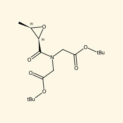 C[C@H]1O[C@H]1C(=O)N(CC(=O)OC(C)(C)C)CC(=O)OC(C)(C)C